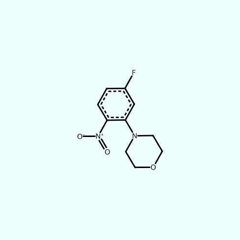 O=[N+]([O-])c1ccc(F)cc1N1CCOCC1